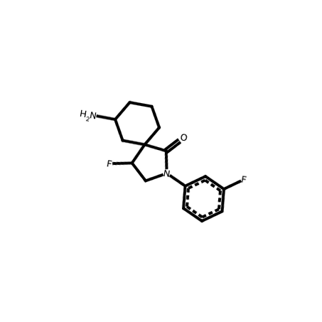 NC1CCCC2(C1)C(=O)N(c1cccc(F)c1)CC2F